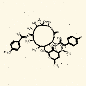 CC[C@H]1OC(=O)[C@H](C)[C@@H](OC(=O)Cc2ccc(F)cc2)[C@H](C)[C@@H](OC2OC(C)CC(N(C)C)C2O)[C@](C)(OC)C[C@@H](C)/C(=N\N=C(/C)c2ccc(OC)cc2)[C@H](C)[C@@H](O)[C@]1(C)O